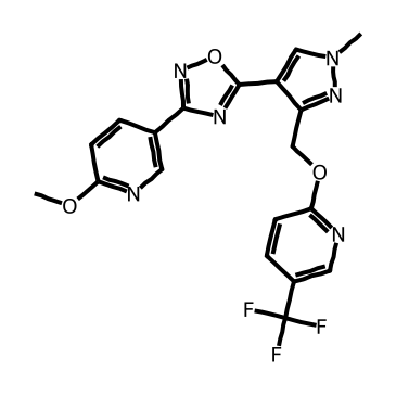 COc1ccc(-c2noc(-c3cn(C)nc3COc3ccc(C(F)(F)F)cn3)n2)cn1